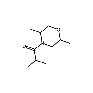 CC1CN(C(=O)C(C)C)C(C)CO1